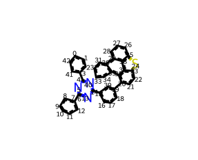 c1ccc(-c2nc(-c3ccccc3)nc(-c3cccc(-c4ccc5sc6cccc7c8ccccc8c4c5c67)c3)n2)cc1